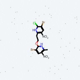 CC1=C([N+](=O)[O-])C=C(Br)C(OCCC2=C([N+](=O)[O-])C=C(Br)C(Cl)N2)N1